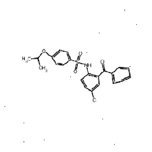 CC(C)Oc1ccc(S(=O)(=O)Nc2ccc(Cl)cc2C(=O)c2ccccc2)cc1